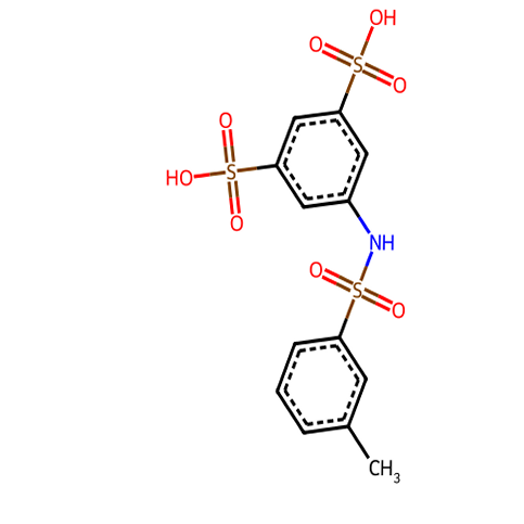 Cc1cccc(S(=O)(=O)Nc2cc(S(=O)(=O)O)cc(S(=O)(=O)O)c2)c1